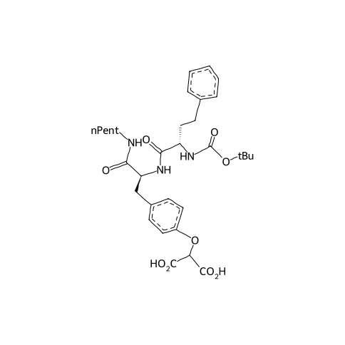 CCCCCNC(=O)[C@H](Cc1ccc(OC(C(=O)O)C(=O)O)cc1)NC(=O)[C@H](CCc1ccccc1)NC(=O)OC(C)(C)C